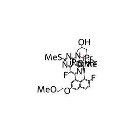 COCCOc1cc(-c2nc(OC)c3c(N4CCC[C@@H](O)C4)nc(SC)nc3c2F)c2c(C#C[Si](C(C)C)(C(C)C)C(C)C)c(F)ccc2c1